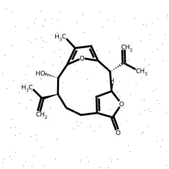 C=C(C)[C@@H]1CCC2=C[C@@H](OC2=O)[C@@H](C(=C)C)c2cc(C)c(o2)[C@H]1O